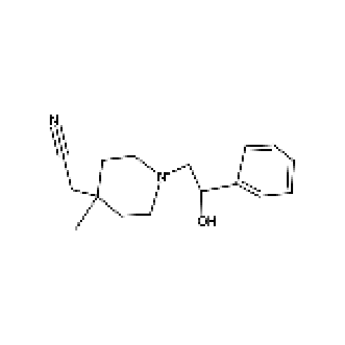 CC1(CC#N)CCN(CC(O)c2ccccc2)CC1